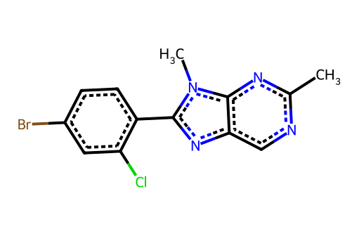 Cc1ncc2nc(-c3ccc(Br)cc3Cl)n(C)c2n1